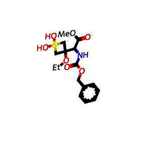 CCOC1(C(NC(=O)OCc2ccccc2)C(=O)OC)CS(O)(O)C1